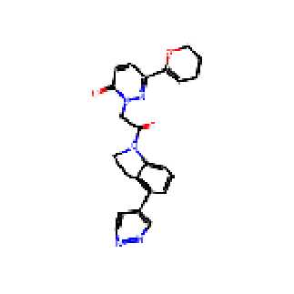 O=C(Cn1nc(C2=CCCCO2)ccc1=O)N1CCc2c(-c3ccnnc3)cccc21